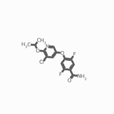 CC(C)Oc1ncc(Oc2cc(F)c(C(N)=O)cc2F)cc1Cl